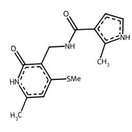 CSc1cc(C)[nH]c(=O)c1CNC(=O)c1cc[nH]c1C